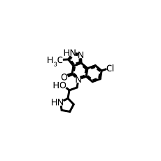 Cc1[nH]nc2c1c(=O)n(CC(O)C1CCCN1)c1ccc(Cl)cc21